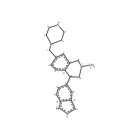 CN1Cc2cc(CN3CCOCC3)ccc2C(c2ccc3[nH]ncc3c2)C1